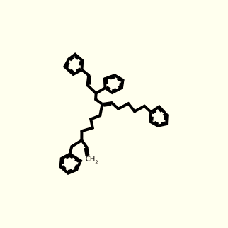 C=CC(CCCCC(=CCCCCc1ccccc1)CC(C=Cc1ccccc1)c1ccccc1)Cc1ccccc1